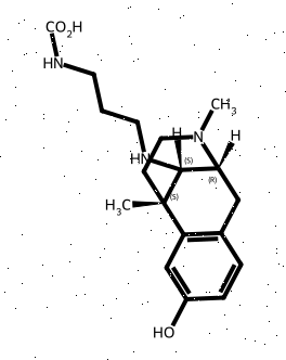 CN1CC[C@@]2(C)c3cc(O)ccc3C[C@@H]1[C@H]2NCCCNC(=O)O